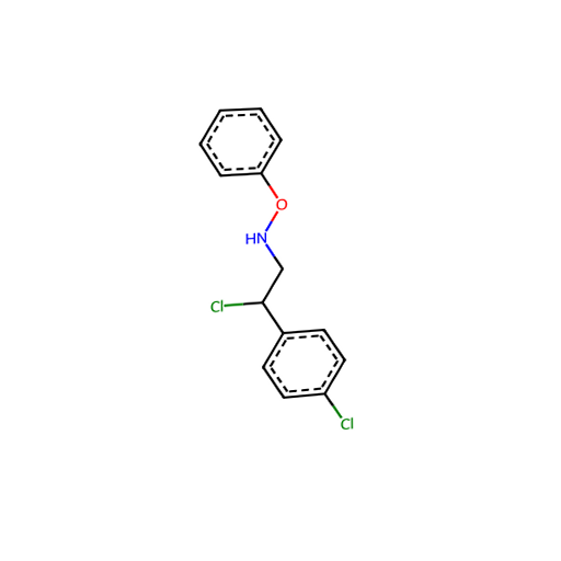 Clc1ccc(C(Cl)CNOc2ccccc2)cc1